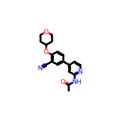 CC(=O)Nc1cc(-c2ccc(OC3CCOCC3)c(C#N)c2)ccn1